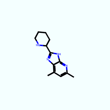 Cc1cc(C)c2nc(C3CCCCN3)[nH]c2n1